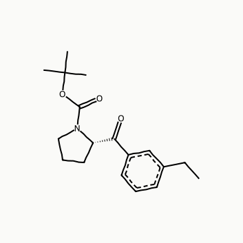 CCc1cccc(C(=O)[C@@H]2CCCN2C(=O)OC(C)(C)C)c1